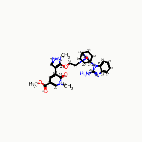 COC(=O)c1cc(-c2cnn(C)c2OCCN2CC3CCC(n4c(N)nc5ccccc54)(CC3)C2)c(=O)n(C)c1